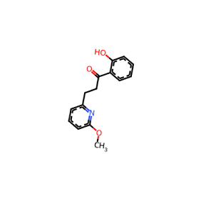 COc1cccc(CCC(=O)c2ccccc2O)n1